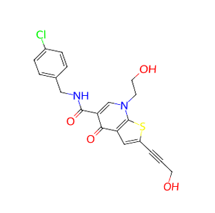 O=C(NCc1ccc(Cl)cc1)c1cn(CCO)c2sc(C#CCO)cc2c1=O